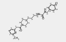 Cc1cccc(CC(=O)N2CCC(CCCCNC(=O)NCc3ccc(Cl)cc3)CC2)n1